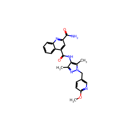 COc1ccc(Cn2nc(C)c(NC(=O)c3cc(C(N)=O)nc4ccccc34)c2C)cn1